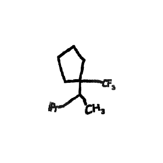 CC(C)C(C)C1(C(F)(F)F)CCCC1